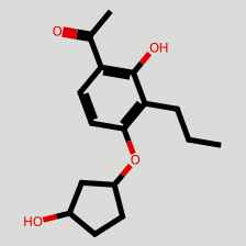 CCCc1c(OC2CCC(O)C2)ccc(C(C)=O)c1O